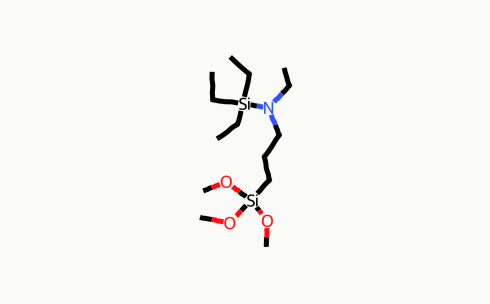 CCN(CCC[Si](OC)(OC)OC)[Si](CC)(CC)CC